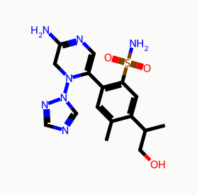 Cc1cc(C2=CN=C(N)CN2n2cncn2)c(S(N)(=O)=O)cc1C(C)CO